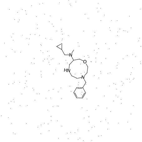 CN(CC1CC1)C1CNCCN(Cc2ccccc2)CCOC1